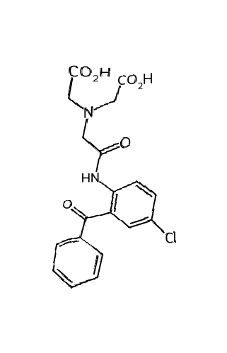 O=C(O)CN(CC(=O)O)CC(=O)Nc1ccc(Cl)cc1C(=O)c1ccccc1